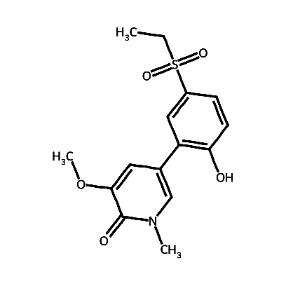 CCS(=O)(=O)c1ccc(O)c(-c2cc(OC)c(=O)n(C)c2)c1